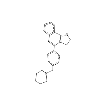 C1=C(c2ccc(CN3CCCCC3)cc2)N2CCN=C2c2ccccc21